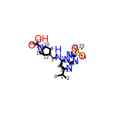 CC(C)c1cc(NC[C@@H]2CC3CC2CN3C(=O)O)n2nc(S(C)(=O)=O)nc2n1